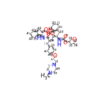 CN1CCN(CCOc2ccc(CC(CC(O)C(CC3CCCCC3)NC(=O)OC3CCOC3)C(=O)N[C@H]3c4ccccc4C[C@@H]3O)cc2)CC1